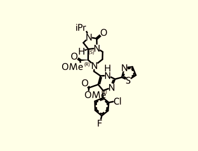 COC(=O)C1=C(CN2CCN3C(=O)N(C(C)C)C[C@H]3[C@@H]2C(=O)OC)NC(c2nccs2)=N[C@H]1c1ccc(F)cc1Cl